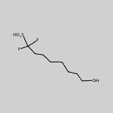 O=S(=O)(O)C(F)(F)CCCCCCCO